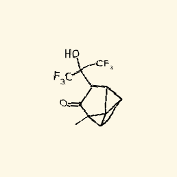 CC12C(=O)C(C(O)(C(F)(F)F)C(F)(F)F)C3C4C1C432